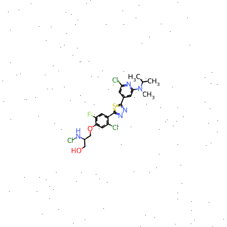 CC(C)N(C)c1cc(-c2nnc(-c3cc(F)c(OCC(CO)NCl)cc3Cl)s2)cc(Cl)n1